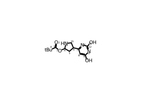 CC(C)(C)C(=O)OC1CC(c2cc(O)nc(O)n2)CN1